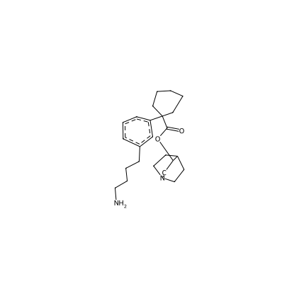 NCCCCc1cccc(C2(C(=O)OC3CN4CCC3CC4)CCCCC2)c1